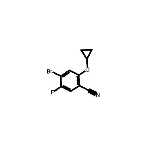 N#Cc1cc(F)c(Br)cc1OC1CC1